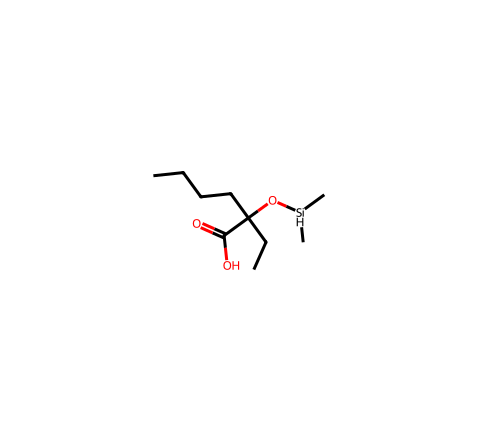 CCCCC(CC)(O[SiH](C)C)C(=O)O